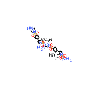 NC(CNS(=O)(=O)c1ccc(-c2ccn(S(N)(=O)=O)c2C(=O)O)cc1)NS(=O)(=O)n1ccc(-c2ccc(S(=O)(=O)N3CCNCC3)cc2)c1C(=O)O